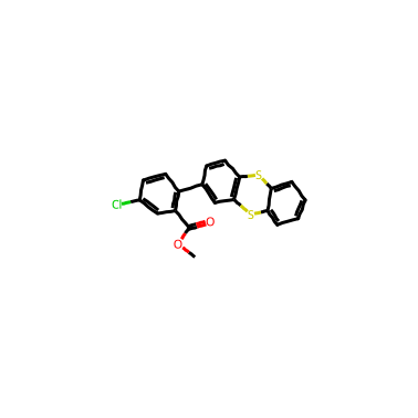 COC(=O)c1cc(Cl)ccc1-c1ccc2c(c1)Sc1ccccc1S2